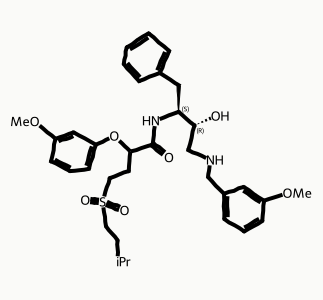 COc1cccc(CNC[C@@H](O)[C@H](Cc2ccccc2)NC(=O)C(CCS(=O)(=O)CCC(C)C)Oc2cccc(OC)c2)c1